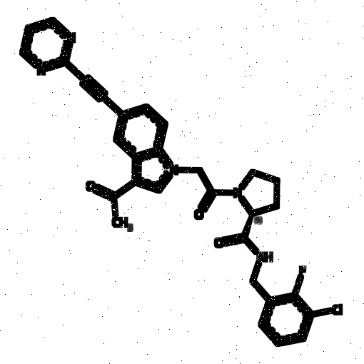 CC(=O)c1cn(CC(=O)N2CCC[C@H]2C(=O)NCc2cccc(Cl)c2F)c2ccc(C#Cc3ncccn3)cc12